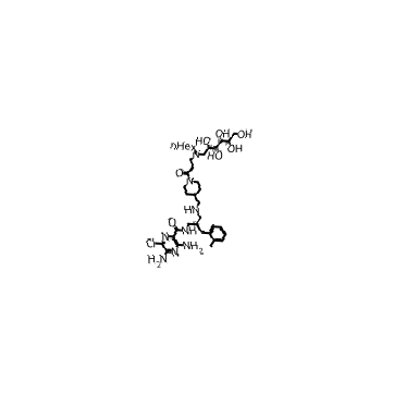 CCCCCCN(CCC(=O)N1CCC(CNC[C@H](CNC(=O)c2nc(Cl)c(N)nc2N)Cc2ccccc2C)CC1)C[C@@H](O)[C@@H](O)[C@H](O)[C@H](O)CO